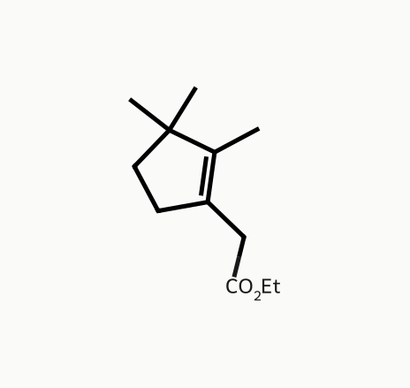 CCOC(=O)CC1=C(C)C(C)(C)CC1